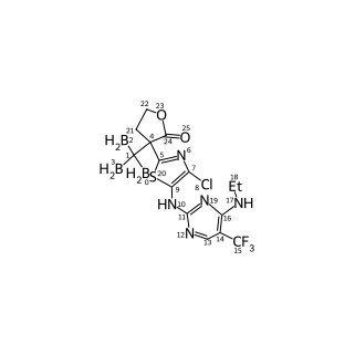 BC(B)(B)C1(c2nc(Cl)c(Nc3ncc(C(F)(F)F)c(NCC)n3)s2)CCOC1=O